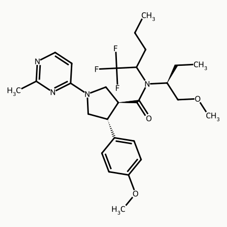 CCCC(N(C(=O)[C@@H]1CN(c2ccnc(C)n2)C[C@H]1c1ccc(OC)cc1)[C@@H](CC)COC)C(F)(F)F